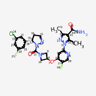 Cc1nn(-c2cc(OC3CN(C(=O)N4N=CC[C@H]4c4cc(F)cc(Cl)c4)C3)c(F)cn2)c(C)c1C(N)=O